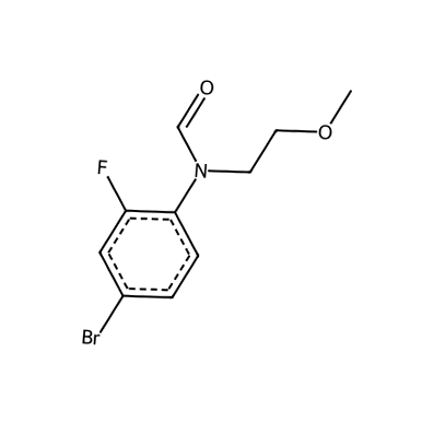 COCCN(C=O)c1ccc(Br)cc1F